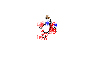 CC[C@H]1OC(=O)[C@H](C)[C@@H](O[C@H]2C[C@@](C)(OC)[C@@H](O)[C@H](C)O2)[C@H](C)[C@@H](O[C@@H]2O[C@H](C)C[C@H](N(C)C)[C@H]2OC(=O)CCCC[C@@H]2CCSS2)[C@](C)(O)C[C@@H](C)CN(C)[C@H](C)[C@@H](O)[C@]1(C)O